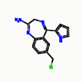 NC1=Nc2ccc(CCl)cc2C(c2ccc[nH]2)=NC1